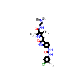 CCN(CC)CCNC(=O)c1c(C)[nH]c(C=C2C(=O)Nc3cc(NC(=O)Nc4ccc(Cl)c(C(F)(F)F)c4)ccc32)c1C